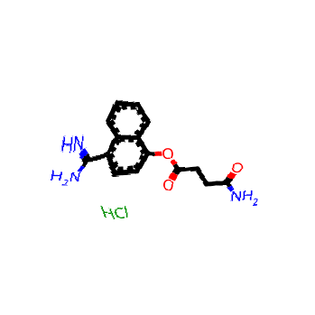 Cl.N=C(N)c1ccc(OC(=O)CCC(N)=O)c2ccccc12